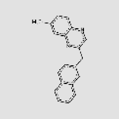 Cc1ccc2ncc(Cc3ccc4ccccc4c3)nc2c1